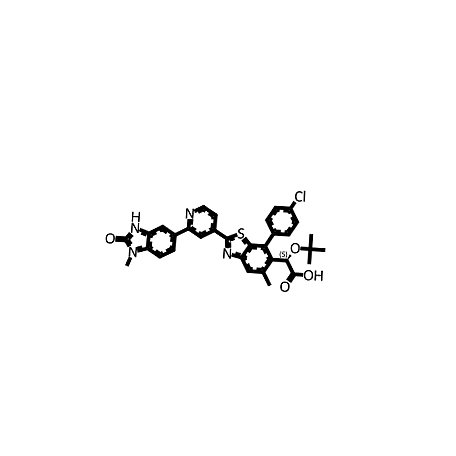 Cc1cc2nc(-c3ccnc(-c4ccc5c(c4)[nH]c(=O)n5C)c3)sc2c(-c2ccc(Cl)cc2)c1[C@H](OC(C)(C)C)C(=O)O